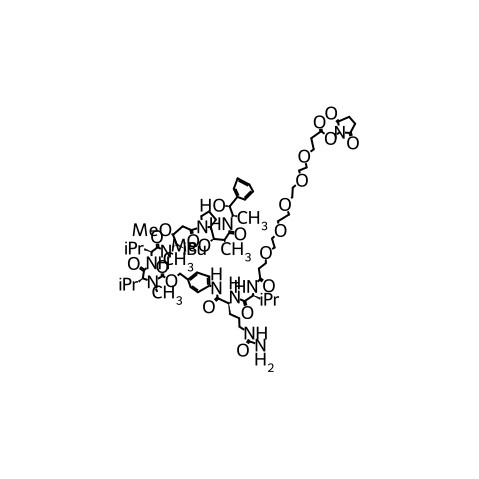 CC[C@H](C)[C@@H]([C@@H](CC(=O)N1CCC[C@H]1[C@H](OC)[C@@H](C)C(=O)N[C@H](C)[C@@H](O)c1ccccc1)OC)N(C)C(=O)[C@@H](NC(=O)[C@H](C(C)C)N(C)C(=O)OCc1ccc(NC(=O)[C@H](CCCNC(N)=O)NC(=O)[C@@H](NC(=O)CCOCCOCCOCCOCCOCCC(=O)ON2C(=O)CCC2=O)C(C)C)cc1)C(C)C